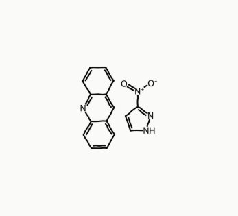 O=[N+]([O-])c1cc[nH]n1.c1ccc2nc3ccccc3cc2c1